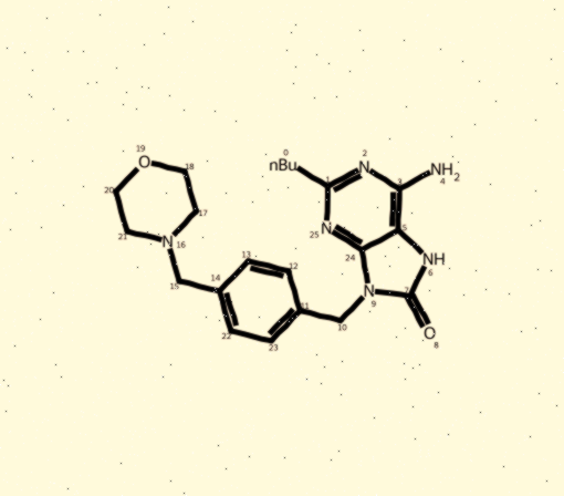 CCCCc1nc(N)c2[nH]c(=O)n(Cc3ccc(CN4CCOCC4)cc3)c2n1